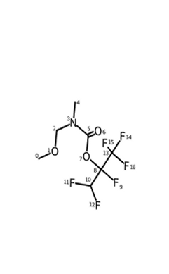 COCN(C)C(=O)OC(F)(C(F)F)C(F)(F)F